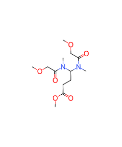 COCC(=O)N(C)C(CCC(=O)OC)N(C)C(=O)COC